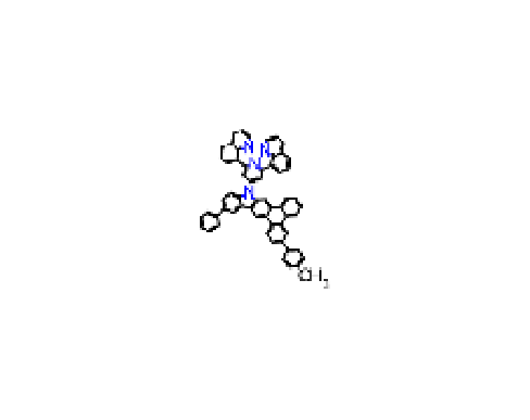 Cc1ccc(-c2ccc3c(c2)c2ccccc2c2cc4c(cc32)c2cc(-c3ccccc3)ccc2n4-c2cc(-c3cccc4cccnc34)nc(-c3cccc4cccnc34)c2)cc1